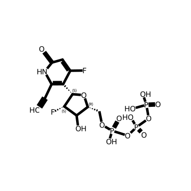 C#Cc1[nH]c(=O)cc(F)c1[C@@H]1O[C@H](COP(=O)(O)OP(=O)(O)OP(=O)(O)O)C(O)[C@@H]1F